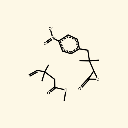 C=CC(C)(C)CC(=O)OC.CC(C)(Cc1ccc([N+](=O)[O-])cc1)C1OC1=O